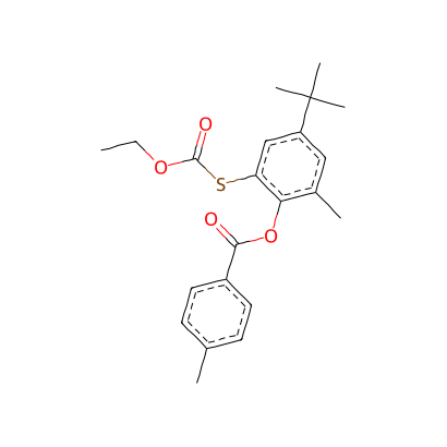 CCOC(=O)Sc1cc(C(C)(C)C)cc(C)c1OC(=O)c1ccc(C)cc1